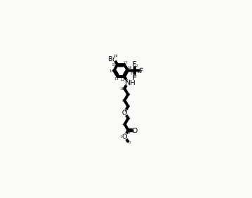 COC(=O)CCOCCCCNc1ccc(Br)cc1C(F)(F)F